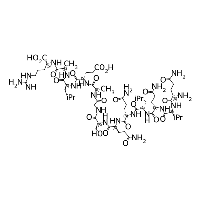 CC(C)C[C@H](NC(=O)[C@H](CCC(=O)O)NC(=O)[C@H](C)NC(=O)CNC(=O)[C@H](CO)NC(=O)[C@H](CCC(N)=O)NC(=O)[C@H](CCC(N)=O)NC(=O)[C@H](CC(C)C)NC(=O)[C@H](CCC(N)=O)NC(=O)[C@@H](NC(=O)[C@@H](N)CCC(N)=O)C(C)C)C(=O)N[C@@H](C)C(=O)N[C@@H](CCCNC(=N)N)C(=O)O